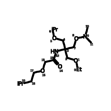 CCOCC(COC(C)C)(CON(C)C)NC(=O)COCCC(C)C